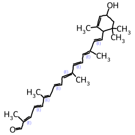 CC1=CC(O)CC(C)(C)C1/C=C/C(C)=C/C=C/C(C)=C/C=C/C=C(C)/C=C/C=C(\C)C=O